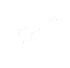 CC(SC#N)c1cc(F)cc(F)c1